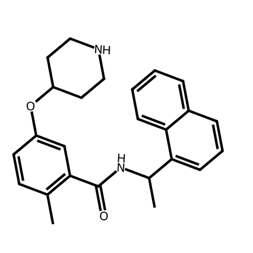 Cc1ccc(OC2CCNCC2)cc1C(=O)NC(C)c1cccc2ccccc12